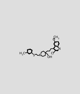 COc1ccc2ncc(Cl)c(CCCC3(CO)CCN(CCSc4cccc(C)c4)CC3)c2c1